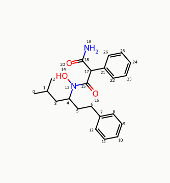 CC(C)CC(CCc1ccccc1)N(O)C(=O)C(C(N)=O)c1ccccc1